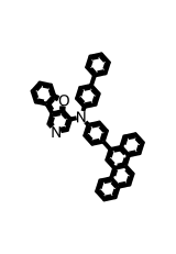 c1ccc(-c2ccc(N(c3ccc(-c4cc5c6ccccc6ccc5c5ccccc45)cc3)c3cncc4c3oc3ccccc34)cc2)cc1